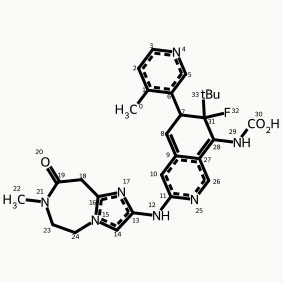 Cc1ccncc1C1C=c2cc(Nc3cn4c(n3)CC(=O)N(C)CC4)ncc2=C(NC(=O)O)C1(F)C(C)(C)C